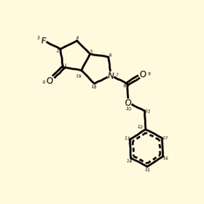 O=C1C(F)CC2CN(C(=O)OCc3ccccc3)CC12